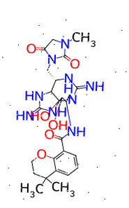 CN1CC(=O)N(C[C@@H]2NC(=N)N3CC(NC(=O)c4cccc5c4OCCC5(C)C)C(O)(O)C34NC(=N)NC24)C1=O